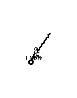 CCCCCCCCCCCC(=O)C[N+](C)(CCNC)CC(=O)Nc1ccccc1